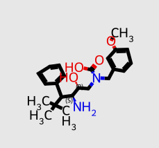 COc1cccc(CN(C[C@@H](O)[C@@H](N)C(c2ccccc2)C(C)(C)C)C(=O)O)c1